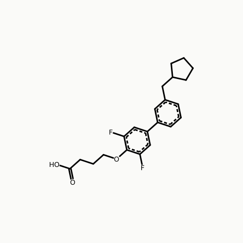 O=C(O)CCCOc1c(F)cc(-c2cccc(CC3CCCC3)c2)cc1F